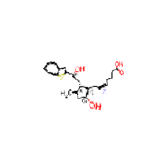 C=C1C[C@H](O)[C@H](C/C=C\CCCC(=O)O)[C@H]1CC[C@@H](O)c1cc2ccccc2s1